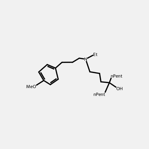 CCCCCC(O)(CCCCC)CCCN(CC)CCCc1ccc(OC)cc1